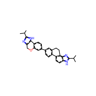 CC(C)c1nc2c([nH]1)-c1ccc(-c3ccc4c(c3)CCc3c-4ccc4[nH]c(C(C)C)nc34)cc1OC2